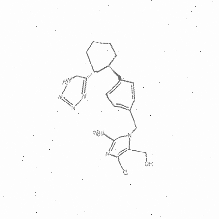 CCCCc1nc(Cl)c(CO)n1Cc1ccc([C@@H]2CCCC[C@H]2c2nnn[nH]2)cc1